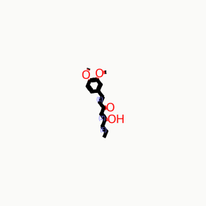 C/C=C/C(O)=C/C(=O)/C=C/c1ccc(OC)c(OC)c1